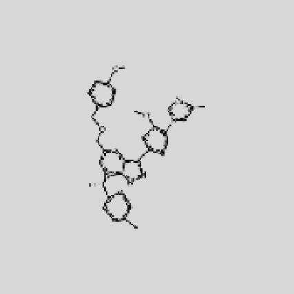 COc1ccc(COCc2cc3c(-c4ccc(-n5cnc(C)c5)c(OC)c4)nnc-3n([C@@H](C)c3ccc(C)cc3)c2)cc1